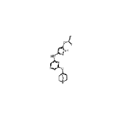 FC(F)Oc1cc(Nc2cncc(OC34CCN(CC3)CC4)n2)n[nH]1